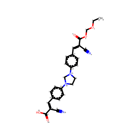 CCOCOC(=O)/C(C#N)=C/c1ccc(N2CCN(c3ccc(/C=C(\C#N)C(=O)O)cc3)C2)cc1